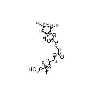 O=C(CSCC(=O)Oc1c(I)cc(I)cc1I)OCCOC(F)(F)C(=O)O